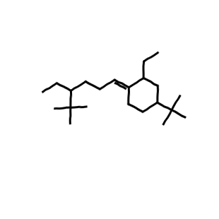 CCC1CC(C(C)(C)C)CC/C1=C\CCC(CC)C(C)(C)C